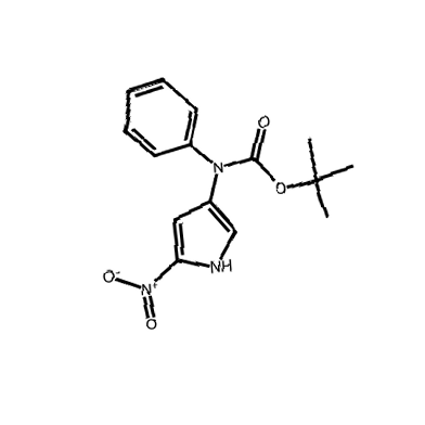 CC(C)(C)OC(=O)N(c1ccccc1)c1c[nH]c([N+](=O)[O-])c1